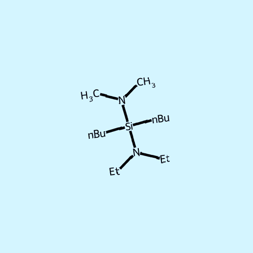 CCCC[Si](CCCC)(N(C)C)N(CC)CC